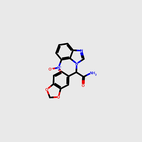 NC(=O)C(c1ccc2c(c1)OCO2)n1cnc2cccc([N+](=O)[O-])c21